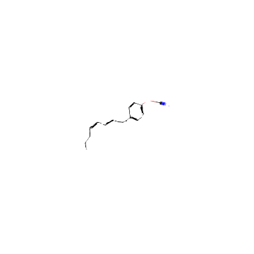 CCC/C=C\C=CCc1ccc(OC#N)cc1